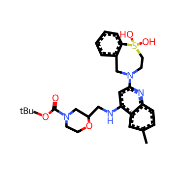 Cc1ccc2nc(N3CCS(O)(O)c4ccccc4C3)cc(NCC3CN(C(=O)OC(C)(C)C)CCO3)c2c1